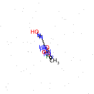 Cc1ccc(COc2nsc(NC(=O)NCCCCCCCN3CCN(CCO)CC3)c2C(N)=O)c(F)c1